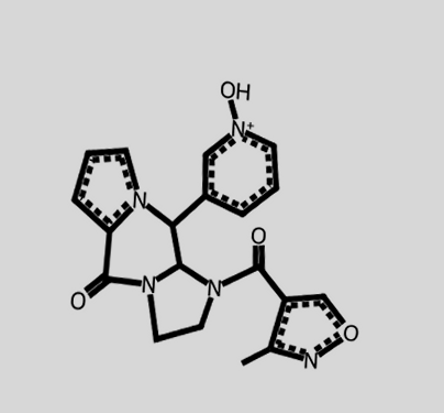 Cc1nocc1C(=O)N1CCN2C(=O)c3cccn3C(c3ccc[n+](O)c3)C12